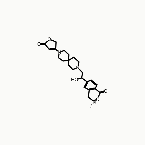 C[C@@H]1Cc2cc(C(O)CN3CCC4(CC3)CCN(C3=CC(=O)OC3)CC4)ccc2C(=O)O1